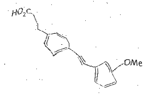 COc1cccc(C#Cc2ccc(CCC(=O)O)cc2)c1